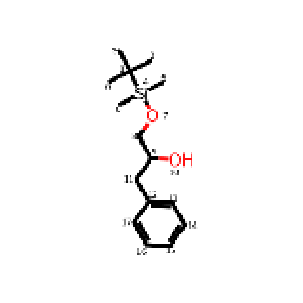 CC(C)(C)[Si](C)(C)OCC(O)Cc1ccccc1